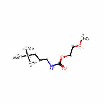 CO[Si](CCCNC(=O)OCCO[C]=O)(OC)OC